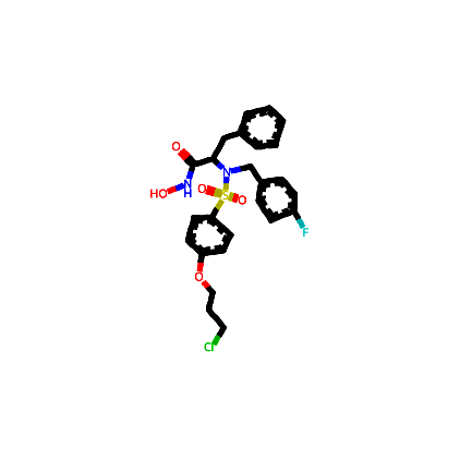 O=C(NO)C(Cc1ccccc1)N(Cc1ccc(F)cc1)S(=O)(=O)c1ccc(OCCCCl)cc1